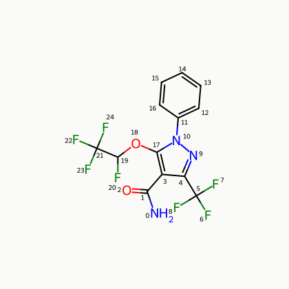 NC(=O)c1c(C(F)(F)F)nn(-c2ccccc2)c1OC(F)C(F)(F)F